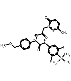 COCc1ccc([C@@H](NC(=O)Cn2nc(C)ccc2=O)C(=O)Nc2cc(F)c([Si](C)(C)C)c(F)c2)cc1